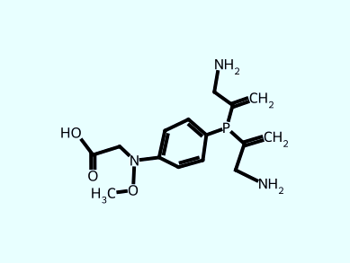 C=C(CN)P(C(=C)CN)c1ccc(N(CC(=O)O)OC)cc1